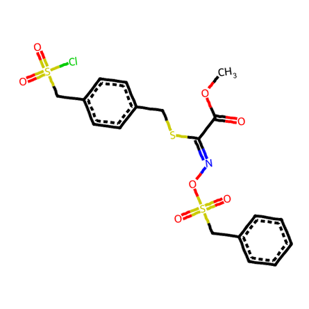 COC(=O)/C(=N/OS(=O)(=O)Cc1ccccc1)SCc1ccc(CS(=O)(=O)Cl)cc1